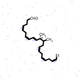 CC/C=C\C/C=C\C/C=C\CC(C)[C@@H](C)/C=C/C=C\C/C=C\CCC=O